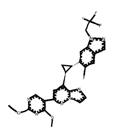 COc1ncc(-c2cc([C@H]3C[C@@H]3c3cc4c(cnn4CC(F)(F)F)cc3F)c3nccn3n2)c(OC)n1